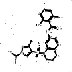 Cc1nn(C(F)F)cc1S(=O)(=O)N1CCCc2ncc(NC(=O)c3c(F)cccc3Cl)cc21